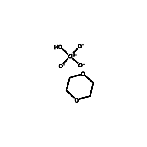 C1COCCO1.[O-][Cl+3]([O-])([O-])O